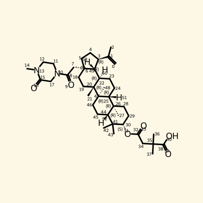 C=C(C)[C@@H]1CC[C@]2(CC(=O)N3CCN(C)C(=O)C3)CC[C@]3(C)[C@H](CC[C@@H]4[C@@]5(C)CC[C@H](OC(=O)CC(C)(C)C(=O)O)C(C)(C)[C@@H]5CC[C@]43C)[C@@H]12